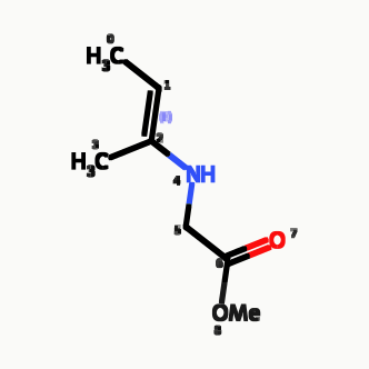 C/C=C(\C)NCC(=O)OC